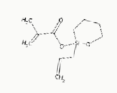 C=CC[Si]1(OC(=O)C(=C)C)CCCCO1